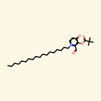 CCCCCCCCCCCCCCCCCCn1ccc(=O)c(OC(=O)C(C)(C)C)c1C=O